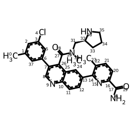 Cc1cc(Cl)cc(-c2cnc3ccc(-c4nc(C(N)=O)ccc4C)cc3c2C(=O)N(C)C[C@@H]2CCCN2)c1